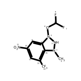 CN1NN(OC(F)F)c2cc([N+](=O)[O-])cc(C(F)(F)F)c21